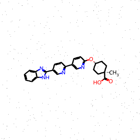 C[C@]1(C(=O)O)CC[C@H](Oc2ccc(-c3ccc(-c4nc5ccccc5[nH]4)cn3)cn2)CC1